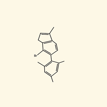 CC1=CCc2c1ccc(-c1c(C)cc(C)cc1C)c2Br